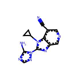 N#Cc1cncc2nc(-n3ncnc3N)n(C3CC3)c12